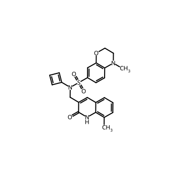 Cc1cccc2cc(CN(C3=CC=C3)S(=O)(=O)c3ccc4c(c3)OCCN4C)c(=O)[nH]c12